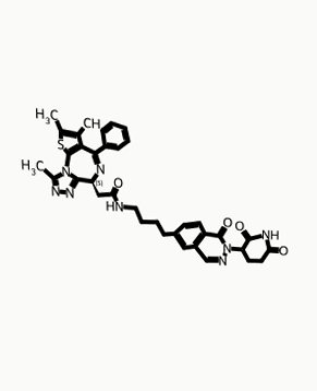 Cc1sc2c(c1C)C(c1ccccc1)=N[C@@H](CC(=O)NCCCCc1ccc3c(=O)n(C4CCC(=O)NC4=O)ncc3c1)c1nnc(C)n1-2